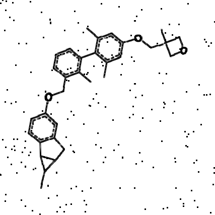 Cc1cc(OCC2(C)COC2)cc(C)c1-c1cccc(COc2ccc3c(c2)CC2C(C)C32)c1C